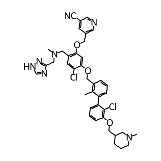 Cc1c(COc2cc(OCc3cncc(C#N)c3)c(CN(C)Cc3nc[nH]n3)cc2Cl)cccc1-c1cccc(OCC2CCCN(C)C2)c1Cl